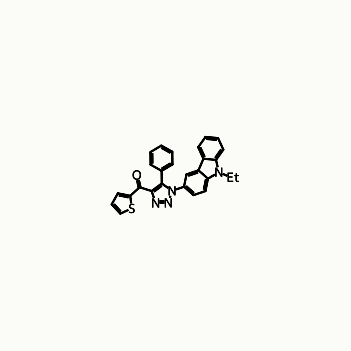 CCn1c2ccccc2c2cc(-n3nnc(C(=O)c4cccs4)c3-c3ccccc3)ccc21